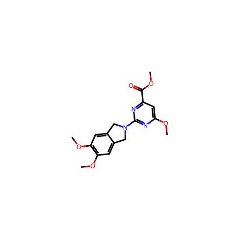 COC(=O)c1cc(OC)nc(N2Cc3cc(OC)c(OC)cc3C2)n1